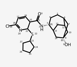 O=C(N[C@@H]1CCC2C[C@@]3(O)CC2CC1C3)C1C=CC(Cl)=NC1SC1CCCC1